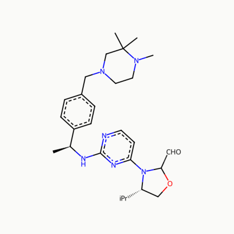 CC(C)[C@H]1COC(C=O)N1c1ccnc(N[C@@H](C)c2ccc(CN3CCN(C)C(C)(C)C3)cc2)n1